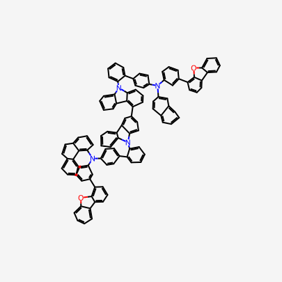 c1cc(-c2cccc3c2oc2ccccc23)cc(N(c2ccc(-c3ccccc3-n3c4ccccc4c4c(-c5ccc6c(c5)c5ccccc5n6-c5ccccc5-c5ccc(N(c6cccc(-c7cccc8c7oc7ccccc78)c6)c6cccc7ccc8ccccc8c67)cc5)cccc43)cc2)c2ccc3ccccc3c2)c1